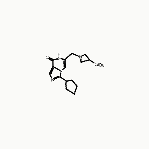 CC(C)COC1CN(Cc2cn3c(C4CCCC4)ncc3c(=O)[nH]2)C1